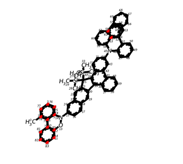 Cc1ccccc1-c1ccccc1ON(c1ccc2cc3c(cc2c1)C([Si](C)(C)C)([Si](C)(C)C)c1c-3c2ccccc2c2cc(N(c3ccccc3-c3ccccc3)c3cccc4c3oc3ccccc34)ccc12)c1ccccc1-c1ccccc1